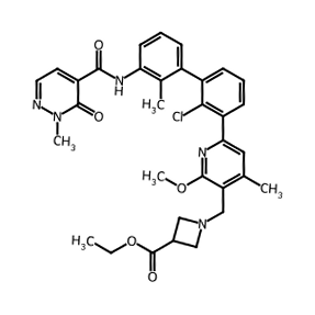 CCOC(=O)C1CN(Cc2c(C)cc(-c3cccc(-c4cccc(NC(=O)c5ccnn(C)c5=O)c4C)c3Cl)nc2OC)C1